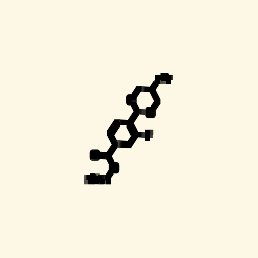 CCCCCCCCCOC(=O)c1ccc(C2OCC(CCC)CO2)c(F)c1